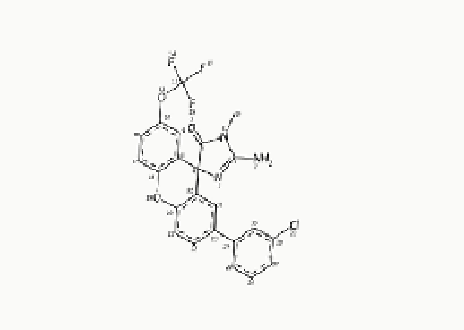 CN1C(=O)C2(N=C1N)c1cc(OC(F)(F)F)ccc1Oc1ccc(-c3cccc(Cl)c3)cc12